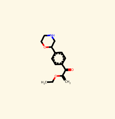 C=C(OCC)C(=O)c1ccc(C2CNCCO2)cc1